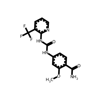 COc1cc(NC(=O)Nc2ncccc2C(F)(F)F)ccc1C(N)=O